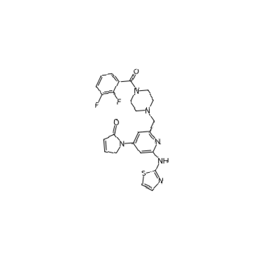 O=C(c1cccc(F)c1F)N1CCN(Cc2cc(N3CC=CC3=O)cc(Nc3nccs3)n2)CC1